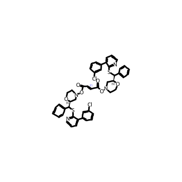 O=C(/C=C/C(=O)ON1CCO[C@H](C(Sc2ncccc2-c2cccc(Cl)c2)c2ccccc2)C1)ON1CCO[C@H](C(Sc2ncccc2-c2cccc(Cl)c2)c2ccccc2)C1